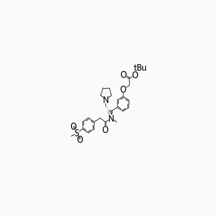 CN(C(=O)Cc1ccc(S(C)(=O)=O)cc1)[C@H](CN1CCCC1)c1cccc(OCC(=O)OC(C)(C)C)c1